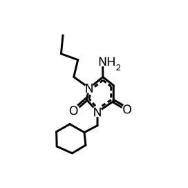 CCCCn1c(N)cc(=O)n(CC2CCCCC2)c1=O